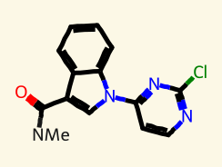 CNC(=O)c1cn(-c2ccnc(Cl)n2)c2ccccc12